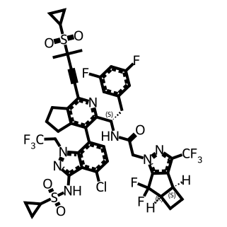 CC(C)(C#Cc1nc([C@H](Cc2cc(F)cc(F)c2)NC(=O)Cn2nc(C(F)(F)F)c3c2C(F)(F)[C@@H]2CC[C@H]32)c(-c2ccc(Cl)c3c(NS(=O)(=O)C4CC4)nn(CC(F)(F)F)c23)c2c1CCC2)S(=O)(=O)C1CC1